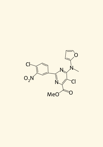 COC(=O)c1nc(-c2ccc(Cl)c([N+](=O)[O-])c2)nc(N(C)c2ccco2)c1Cl